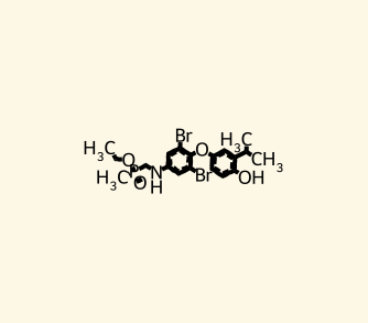 CCOP(C)(=O)CNc1cc(Br)c(Oc2ccc(O)c(C(C)C)c2)c(Br)c1